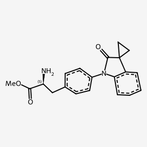 COC(=O)[C@@H](N)Cc1ccc(N2C(=O)C3(CC3)c3ccccc32)cc1